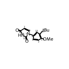 COc1ccc(-n2ccc(=O)[nH]c2=O)cc1C(C)(C)C